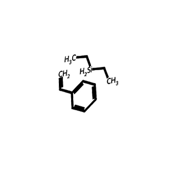 C=Cc1ccccc1.CC[SiH2]CC